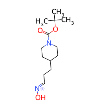 CC(C)(C)OC(=O)N1CCC(CC/C=N/O)CC1